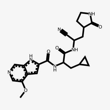 COc1cncc2[nH]c(C(=O)NC(CC3CC3)C(=O)NC(C#N)CC3CCNC3=O)cc12